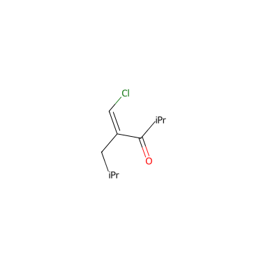 CC(C)CC(=CCl)C(=O)C(C)C